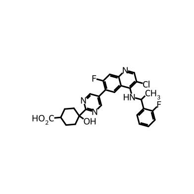 CC(Nc1c(Cl)cnc2cc(F)c(-c3cnc(C4(O)CCC(C(=O)O)CC4)nc3)cc12)c1ccccc1F